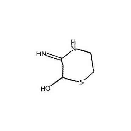 N=C1NCCS[C]1O